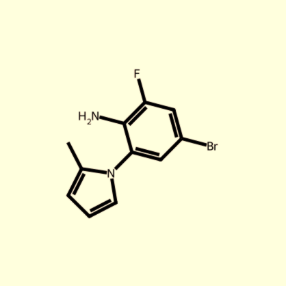 Cc1cccn1-c1cc(Br)cc(F)c1N